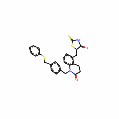 O=C1NC(=S)SC1Cc1cccc2c1CCC(=O)N2Cc1ccc(CSc2ccccc2)cc1